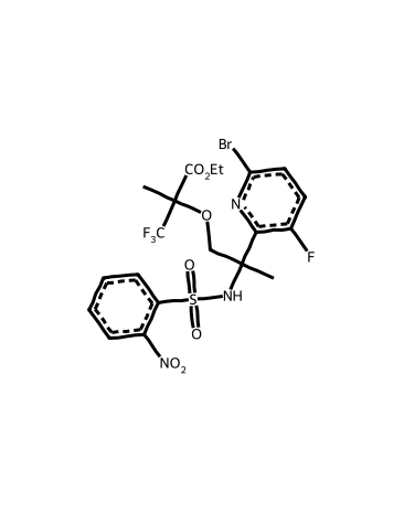 CCOC(=O)C(C)(OCC(C)(NS(=O)(=O)c1ccccc1[N+](=O)[O-])c1nc(Br)ccc1F)C(F)(F)F